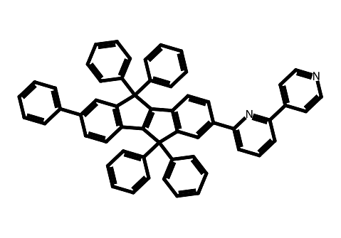 c1ccc(-c2ccc3c(c2)C(c2ccccc2)(c2ccccc2)C2=C3C(c3ccccc3)(c3ccccc3)c3cc(-c4cccc(-c5ccncc5)n4)ccc32)cc1